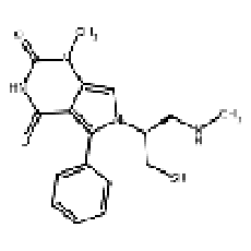 CNC[C@@H](CS)n1cc2c(c1-c1ccccc1)c(=O)[nH]c(=O)n2C